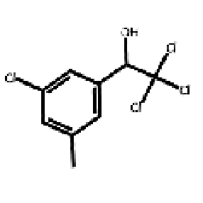 Cc1cc(Cl)cc(C(O)C(Cl)(Cl)Cl)c1